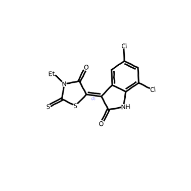 CCN1C(=O)/C(=C2/C(=O)Nc3c(Cl)cc(Cl)cc32)SC1=S